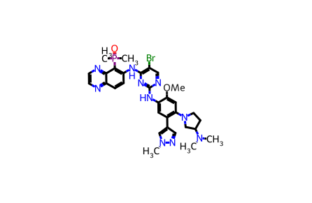 COc1cc(N2CCC(N(C)C)C2)c(-c2cnn(C)c2)cc1Nc1ncc(Br)c(Nc2ccc3nccnc3c2P(C)(C)=O)n1